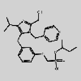 CCC(C)OP(=O)(O)COc1cccc(Sc2c(C(C)C)nc(CO)n2Cc2ccncc2)c1